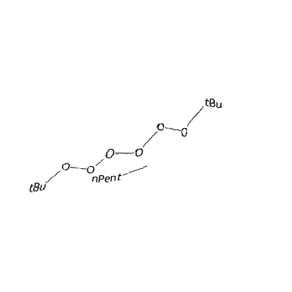 CC(C)(C)OOOOOOC(C)(C)C.CCCCCC